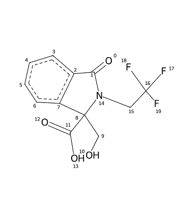 O=C1c2ccccc2C(CO)(C(=O)O)N1CC(F)(F)F